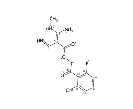 CN/C(N)=C(\C=N)C(=O)OCC(=O)c1c(F)cccc1Cl